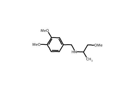 COCC(C)NCc1ccc(OC)c(OC)c1